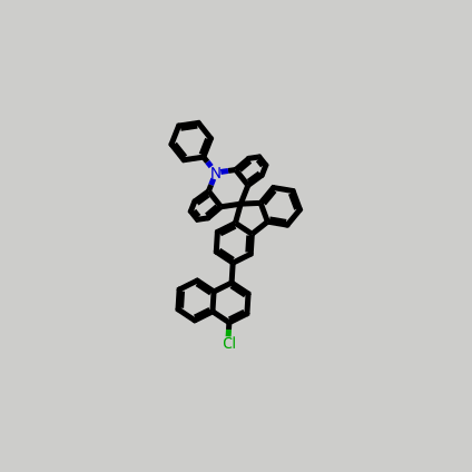 Clc1ccc(-c2ccc3c(c2)-c2ccccc2C32c3ccccc3N(c3ccccc3)c3ccccc32)c2ccccc12